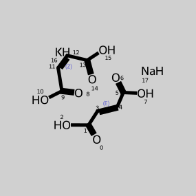 O=C(O)/C=C/C(=O)O.O=C(O)/C=C\C(=O)O.[KH].[NaH]